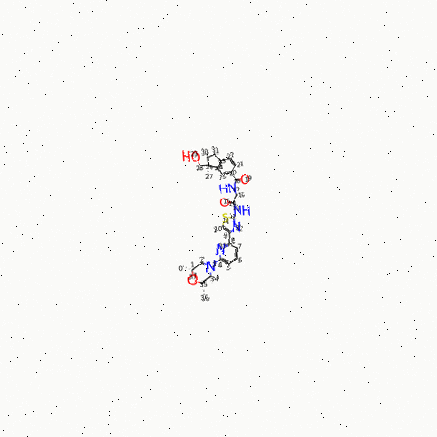 C[C@@H]1CN(c2cccc(-c3csc(NC(=O)CNC(=O)c4ccc5c(c4)[C@@](C)(CO)CC5)n3)n2)C[C@H](C)O1